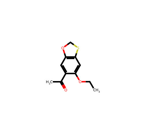 CCOc1cc2c(cc1C(C)=O)OCS2